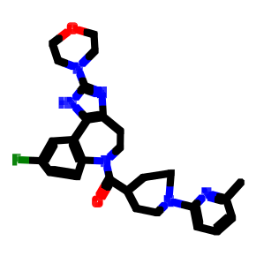 Cc1cccc(N2CCC(C(=O)N3CCc4nc(N5CCOCC5)[nH]c4-c4cc(F)ccc43)CC2)n1